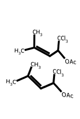 CC(=O)OC(C=C(C)C)C(Cl)(Cl)Cl.CC(=O)OC(C=C(C)C)C(Cl)(Cl)Cl